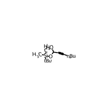 CCCCC#CC(O)O[Si](C)(C)C(C)(C)C